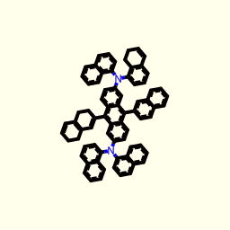 C1=CC2=C(C=C(c3c4cc(N(c5cccc6ccccc56)c5cccc6ccccc56)ccc4c(-c4ccc5ccccc5c4)c4cc(N(c5cccc6c5CCC=C6)c5cccc6ccccc56)ccc34)CC2)CC1